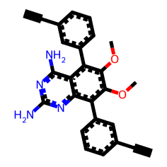 C#Cc1cccc(-c2c(OC)c(OC)c(-c3cccc(C#C)c3)c3c(N)nc(N)nc23)c1